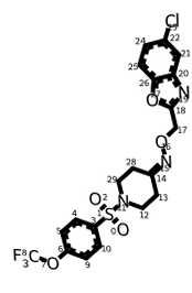 O=S(=O)(c1ccc(OC(F)(F)F)cc1)N1CCC(=NOCc2nc3cc(Cl)ccc3o2)CC1